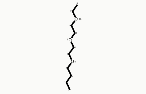 CCCCO[CH]COCCOCC